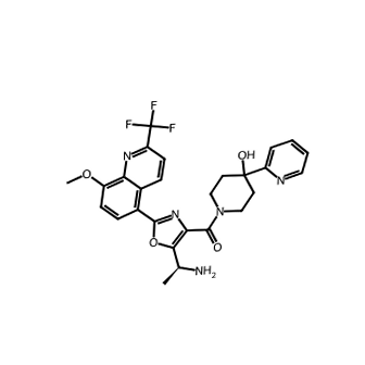 COc1ccc(-c2nc(C(=O)N3CCC(O)(c4ccccn4)CC3)c([C@H](C)N)o2)c2ccc(C(F)(F)F)nc12